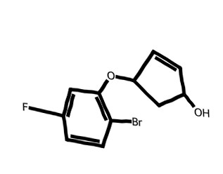 OC1C=CC(Oc2cc(F)ccc2Br)C1